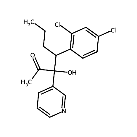 CCCC(c1ccc(Cl)cc1Cl)C(O)(C(C)=O)c1cccnc1